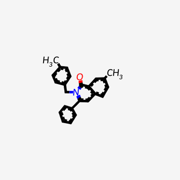 Cc1ccc(Cn2c(-c3ccccc3)cc3ccc(C)cc3c2=O)cc1